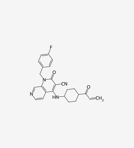 C=CC(=O)C1CCC(Nc2c(C#N)c(=O)n(Cc3ccc(F)cc3)c3cnccc23)CC1